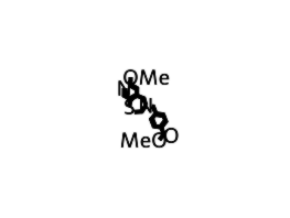 COC(=O)c1ccc(CN2CCSc3cnc(OC)cc3C2)cc1